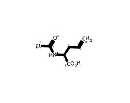 C=CCC(NC(=O)CC)C(=O)O